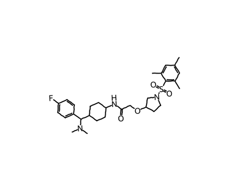 Cc1cc(C)c(S(=O)(=O)N2CCC(OCC(=O)NC3CCC(C(c4ccc(F)cc4)N(C)C)CC3)C2)c(C)c1